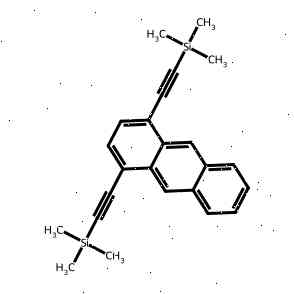 C[Si](C)(C)C#Cc1ccc(C#C[Si](C)(C)C)c2cc3ccccc3cc12